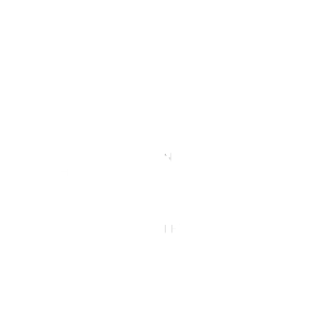 CC[N+](CC)(CCO)c1ccccc1.[OH-]